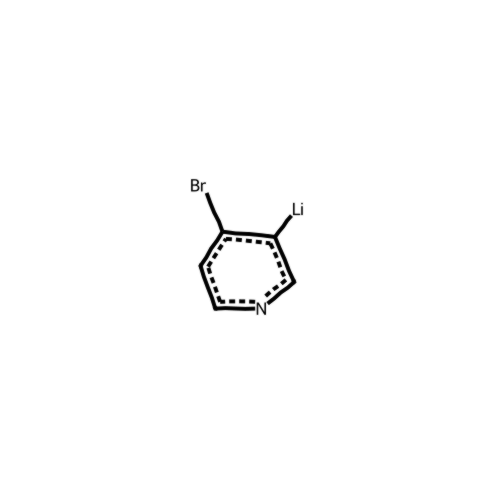 [Li][c]1cnccc1Br